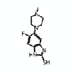 CN1CCN(c2cc3nc(S)[nH]c3cc2F)CC1